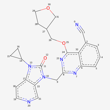 N#Cc1cccc2nc(Cn3c(=O)n(C4CC4)c4ccncc43)nc(OCC3CCOC3)c12